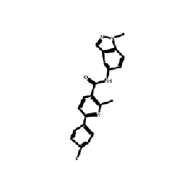 Cc1nc(-c2ccc(F)cc2)ccc1C(=O)Nc1ccc2c(cnn2C)c1